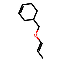 CC=COCC1CC=CCC1